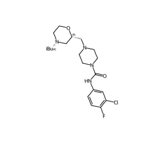 CC[C@@H](C)N1CCO[C@H](CN2CCN(C(=O)Nc3ccc(F)c(Cl)c3)CC2)C1